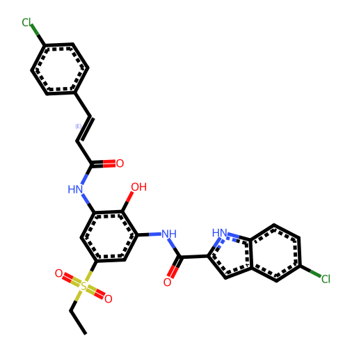 CCS(=O)(=O)c1cc(NC(=O)/C=C/c2ccc(Cl)cc2)c(O)c(NC(=O)c2cc3cc(Cl)ccc3[nH]2)c1